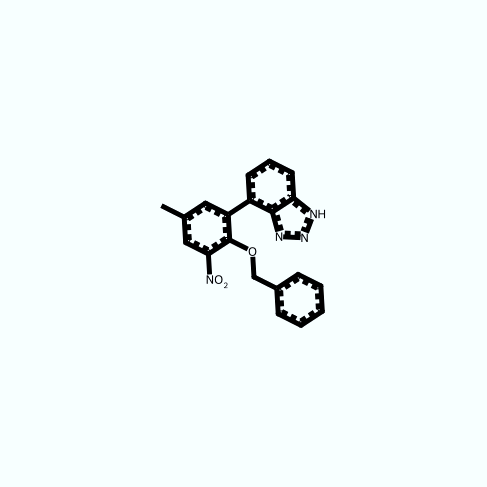 Cc1cc(-c2cccc3[nH]nnc23)c(OCc2ccccc2)c([N+](=O)[O-])c1